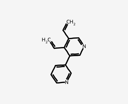 C=Cc1cncc(-c2cccnc2)c1C=C